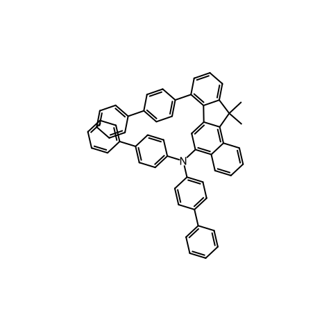 CC1(C)c2cccc(-c3ccc(-c4ccccc4)cc3)c2-c2cc(N(c3ccc(-c4ccccc4)cc3)c3ccc(-c4ccccc4)cc3)c3ccccc3c21